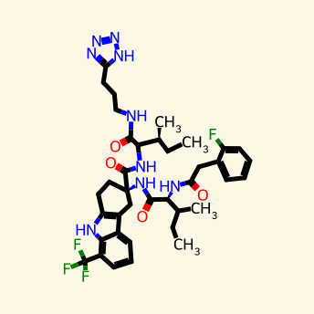 CCC(C)[C@H](NC(=O)Cc1ccccc1F)C(=O)N[C@]1(C(=O)NC(C(=O)NCCCc2nnn[nH]2)[C@@H](C)CC)CCc2[nH]c3c(C(F)(F)F)cccc3c2C1